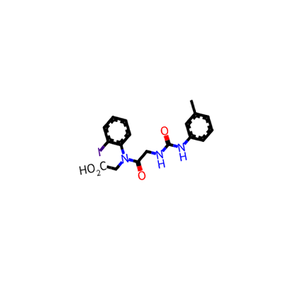 Cc1cccc(NC(=O)NCC(=O)N(CC(=O)O)c2ccccc2I)c1